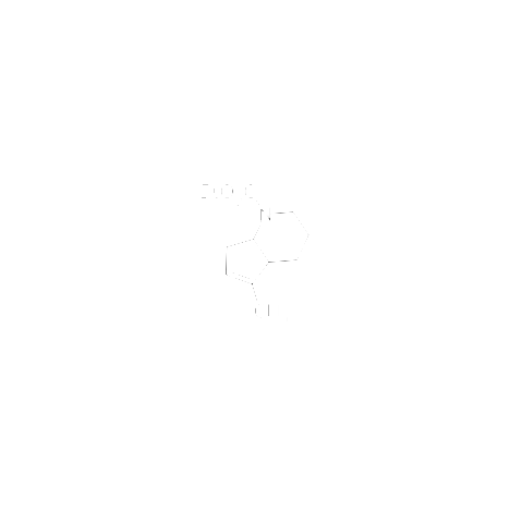 CCOC(=O)N1CCCC2C(C)=CCC21